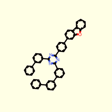 c1ccc(-c2cccc(-c3cccc(-c4nc(-c5ccc(-c6ccc7c(c6)oc6ccccc67)cc5)nc(-c5cccc(-c6ccccc6)c5)n4)c3)c2)cc1